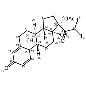 CC(=O)O[C@@]1(C(=O)C(I)I)CC[C@H]2[C@@H]3CCC4=CC(=O)C=C[C@]4(C)[C@H]3CC[C@@]21C